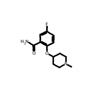 CN1CCC(Oc2ccc(F)cc2C(N)=O)CC1